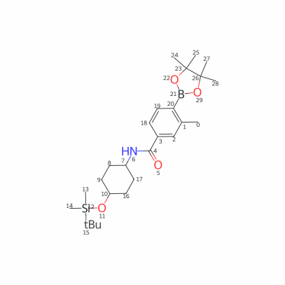 Cc1cc(C(=O)NC2CCC(O[Si](C)(C)C(C)(C)C)CC2)ccc1B1OC(C)(C)C(C)(C)O1